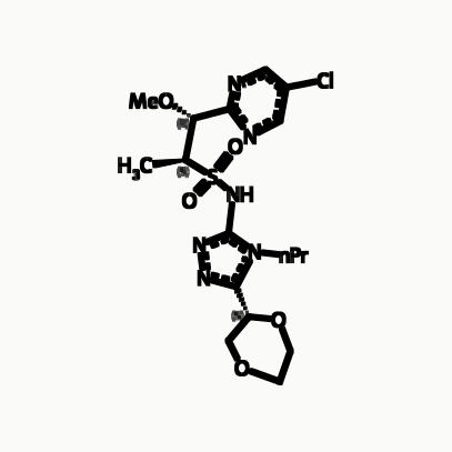 CCCn1c(NS(=O)(=O)[C@@H](C)[C@H](OC)c2ncc(Cl)cn2)nnc1[C@H]1COCCO1